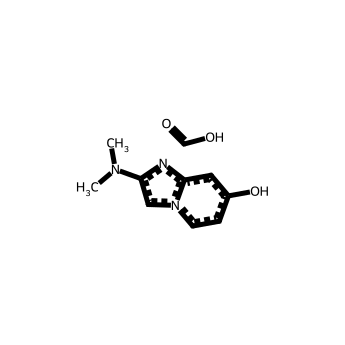 CN(C)c1cn2ccc(O)cc2n1.O=CO